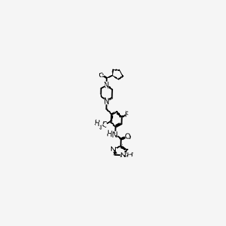 Cc1c(CN2CCN(C(=O)C3CCCC3)CC2)cc(F)cc1NC(=O)c1c[nH]cn1